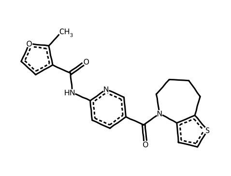 Cc1occc1C(=O)Nc1ccc(C(=O)N2CCCCc3sccc32)cn1